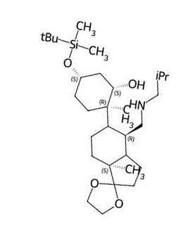 CC(C)CNC[C@H]1C2CCC3(OCCO3)[C@@]2(C)CCC1[C@@]1(C)CC[C@H](O[Si](C)(C)C(C)(C)C)C[C@@H]1O